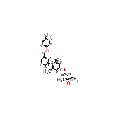 Cc1ccc(OCc2cccc(-c3c(C)cc(OCCC(C)(C)O)cc3C)c2)cc1